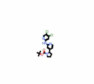 CC(C)(C)OC(=O)N1CCCC1c1ccnc(Nc2cc(Cl)c(Cl)cn2)c1